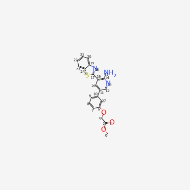 COC(=O)COc1cccc(-c2cnc(N)c(-c3nc4ccccc4s3)c2)c1